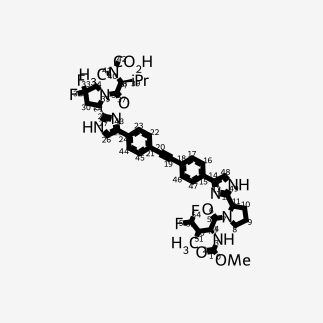 COC(=O)N[C@H](C(=O)N1CCCC1c1nc(-c2ccc(C#Cc3ccc(-c4c[nH]c([C@@H]5CC(F)(F)CN5C(=O)[C@H](C(C)C)N(C)C(=O)O)n4)cc3)cc2)c[nH]1)C(C)C(F)F